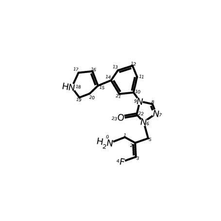 NC/C(=C\F)Cn1ncn(-c2cccc(C3=CCNCC3)c2)c1=O